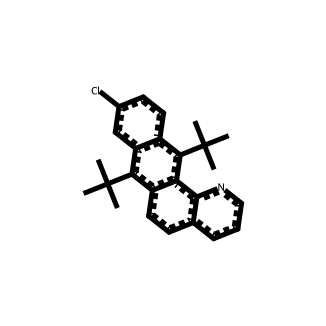 CC(C)(C)c1c2cc(Cl)ccc2c(C(C)(C)C)c2c1ccc1cccnc12